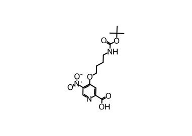 CC(C)(C)OC(=O)NCCCCOc1cc(C(=O)O)ncc1[N+](=O)[O-]